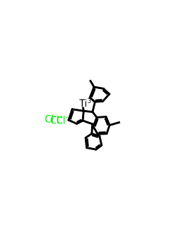 Cc1cccc(C(c2cccc(C)c2)[C]2([Ti+3])C=CC=C2Cc2ccccc2)c1.[Cl-].[Cl-].[Cl-]